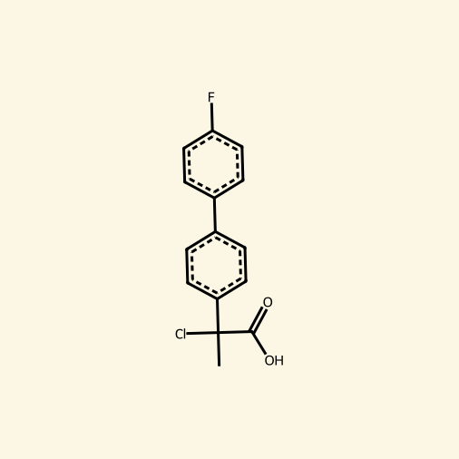 CC(Cl)(C(=O)O)c1ccc(-c2ccc(F)cc2)cc1